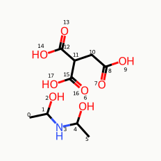 CC(O)NC(C)O.O=C(O)CC(C(=O)O)C(=O)O